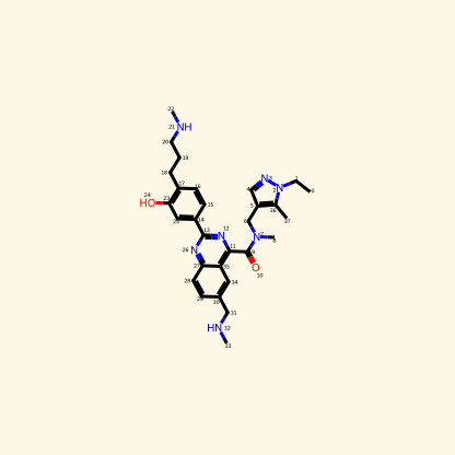 CCn1ncc(CN(C)C(=O)c2nc(-c3ccc(CCCNC)c(O)c3)nc3ccc(CNC)cc23)c1C